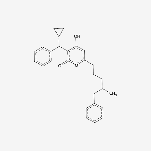 CC(CCCc1cc(O)c(C(c2ccccc2)C2CC2)c(=O)o1)Cc1ccccc1